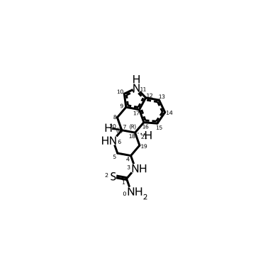 NC(=S)NC1CN[C@@H]2Cc3c[nH]c4cccc(c34)[C@H]2C1